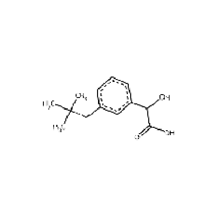 CC(C)(C)Cc1cccc(C(O)C(=O)O)c1